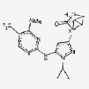 CNc1nc(Nc2cc([C@@]34C(=O)OC5C3[C@H]54)nn2C2CC2)ncc1C(F)(F)F